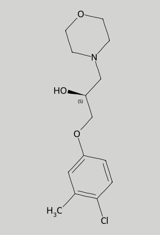 Cc1cc(OC[C@@H](O)CN2CCOCC2)ccc1Cl